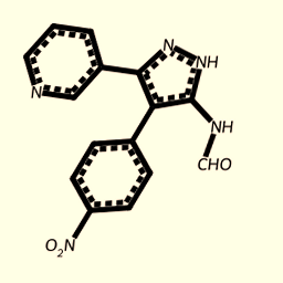 O=CNc1[nH]nc(-c2cccnc2)c1-c1ccc([N+](=O)[O-])cc1